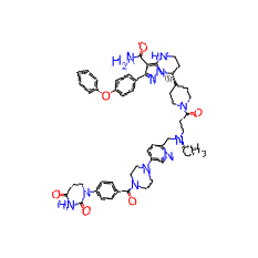 CN(CCC(=O)N1CCC([C@@H]2CCNc3c(C(N)=O)c(-c4ccc(Oc5ccccc5)cc4)nn32)CC1)Cc1ccc(N2CCN(C(=O)c3ccc(N4CCC(=O)NC4=O)cc3)CC2)cn1